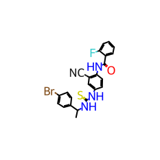 CC(NC(=S)Nc1ccc(NC(=O)c2ccccc2F)c(C#N)c1)c1ccc(Br)cc1